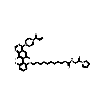 C=CC(=O)N1CCN(c2ncnc3c(F)c(-c4c(F)cccc4OCCCCCCCCCCC(=O)NCC(=O)N4CCCC4)c(C)cc23)CC1